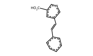 O=C(O)c1cncc(C=Cc2ccccc2)c1